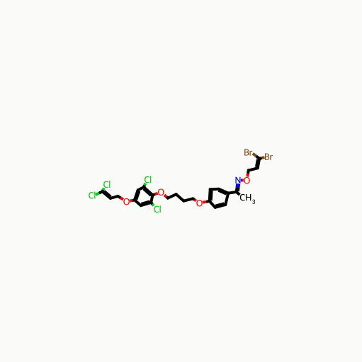 CC(=NOCC=C(Br)Br)c1ccc(OCCCCOc2c(Cl)cc(OCC=C(Cl)Cl)cc2Cl)cc1